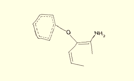 C/C=C\C(Oc1ccccc1)=C(/C)N